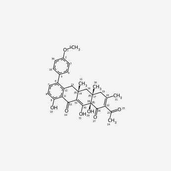 COc1ccc(-c2ccc(O)c3c2C[C@]2(C)C[C@]4(C)CC(C)=C(C(C)=O)C(=O)[C@]4(O)C(O)=C2C3=O)cc1